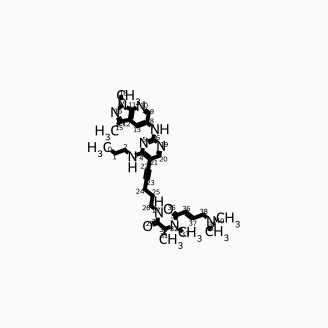 CCCNc1nc(Nc2cnc3c(c2)c(C)nn3C)ncc1C#CCCCNC(=O)[C@H](C)N(C)C(=O)/C=C/CN(C)C